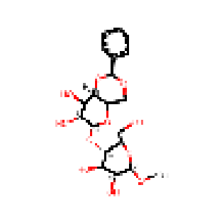 CCCCO[C@@H]1OC(CO)[C@@H](O[C@@H]2OC3COC(c4ccccc4)O[C@@H]3C(O)[C@@H]2O)C(O)[C@@H]1O